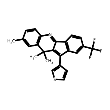 Cc1ccc2c(c1)C(C)(C)C1=C(c3ccsc3)c3cc(C(F)(F)F)ccc3C1=N2